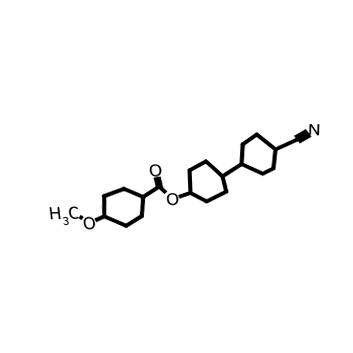 COC1CCC(C(=O)OC2CCC(C3CCC(C#N)CC3)CC2)CC1